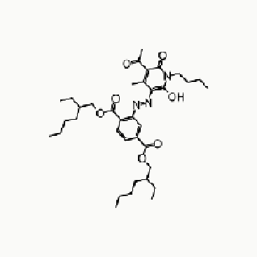 CCCCC(CC)COC(=O)c1ccc(C(=O)OCC(CC)CCCC)c(/N=N/c2c(C)c(C(C)=O)c(=O)n(CCCC)c2O)c1